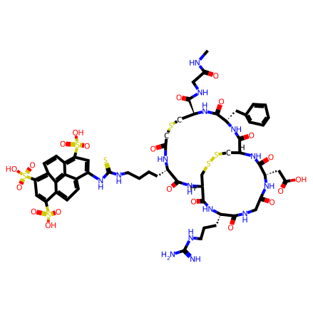 CNC(=O)CNC(=O)[C@@H]1CSCC(=O)N[C@@H](CCCCNC(=S)Nc2cc(S(=O)(=O)O)c3ccc4c(S(=O)(=O)O)cc(S(=O)(=O)O)c5ccc2c3c54)C(=O)N[C@H]2CSSC[C@H](NC(=O)[C@H](CC(=O)O)NC(=O)CNC(=O)[C@H](CCCNC(=N)N)NC2=O)C(=O)N[C@@H](Cc2ccccc2)C(=O)N1